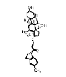 Cc1ccc2c(c1)CCN2C(=O)CCC[C@H]1CC[C@H]2[C@@H]3[C@H](O)C[C@@H]4C[C@H](O)CC[C@]4(C)[C@H]3C[C@H](O)[C@]12C